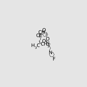 CC(C)=CC[C@H]1O[C@]1(C)C1CC(OC(=O)N2CC(CCN3CCC(F)CC3)C2)CCC12CO2